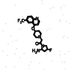 N[C@@H]1C[C@H](F)CN1C(=O)CN1CCC(Oc2ccnc3ccc(C(F)(F)F)cc23)CC1